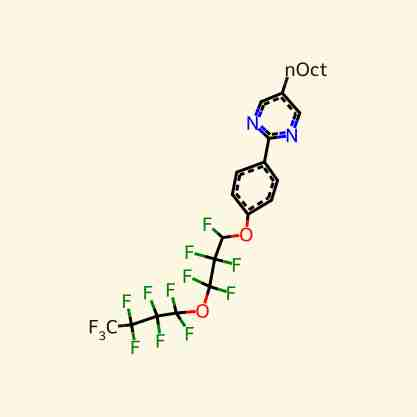 CCCCCCCCc1cnc(-c2ccc(OC(F)C(F)(F)C(F)(F)OC(F)(F)C(F)(F)C(F)(F)C(F)(F)F)cc2)nc1